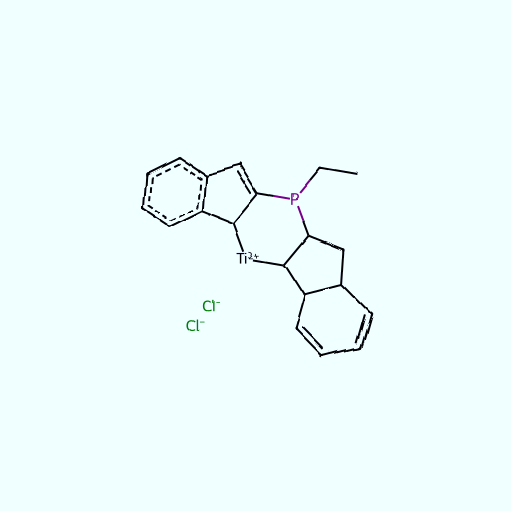 CCP1C2=Cc3ccccc3[CH]2[Ti+2][CH]2C3C=CC=CC3CC21.[Cl-].[Cl-]